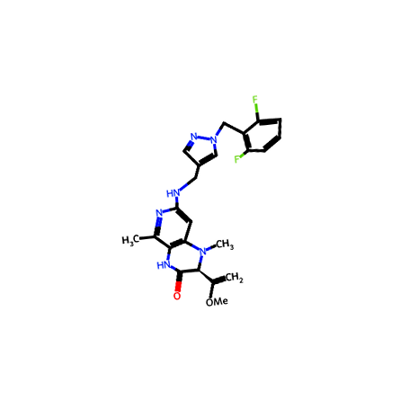 C=C(OC)[C@H]1C(=O)Nc2c(cc(NCc3cnn(Cc4c(F)cccc4F)c3)nc2C)N1C